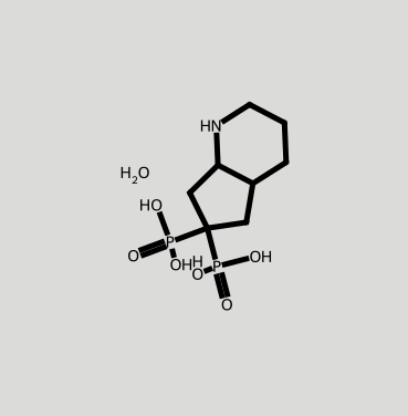 O.O=P(O)(O)C1(P(=O)(O)O)CC2CCCNC2C1